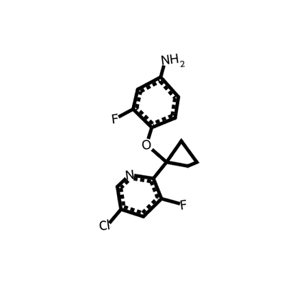 Nc1ccc(OC2(c3ncc(Cl)cc3F)CCC2)c(F)c1